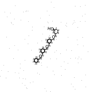 O[C@@H]1CCCC(COCc2cccc(COCc3cccc(COCc4ccccc4)c3)c2)C1